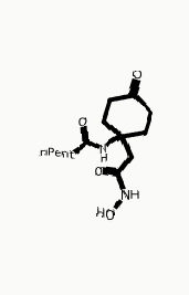 CCCCCC(=O)NC1(CC(=O)NO)CCC(=O)CC1